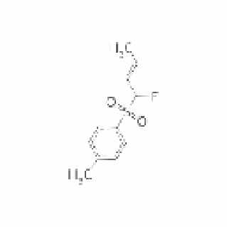 CC=CC(F)S(=O)(=O)c1ccc(C)cc1